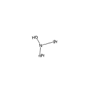 CCCN(O)C(C)C